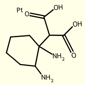 NC1CCCCC1(N)C(C(=O)O)C(=O)O.[Pt]